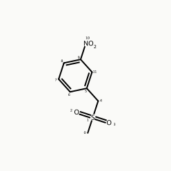 CS(=O)(=O)Cc1[c]ccc([N+](=O)[O-])c1